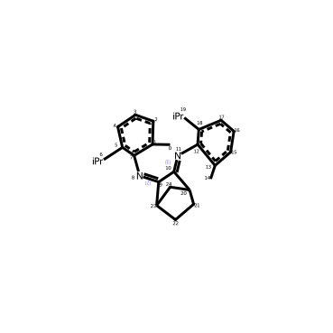 Cc1cccc(C(C)C)c1/N=C1\C(=N\c2c(C)cccc2C(C)C)C2CCC1C2